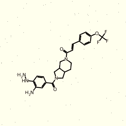 NNc1ccc(C(=O)N2CC3CCN(C(=O)/C=C/c4ccc(OC(F)(F)F)cc4)CC3C2)cc1N